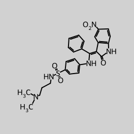 CN(C)CCCNS(=O)(=O)c1ccc(N/C(=C2\C(=O)Nc3ccc([N+](=O)[O-])cc32)c2ccccc2)cc1